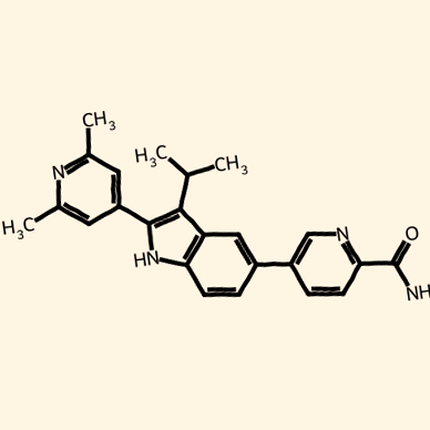 Cc1cc(-c2[nH]c3ccc(-c4ccc(C(N)=O)nc4)cc3c2C(C)C)cc(C)n1